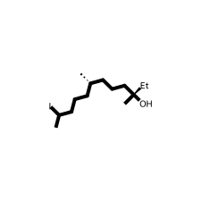 CC[C@](C)(O)CCC[C@@H](C)CCCC(C)I